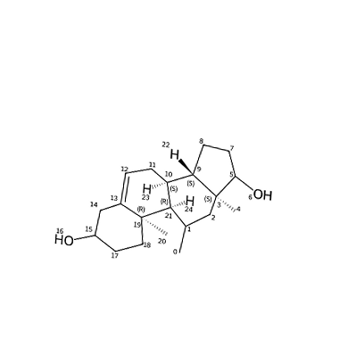 CC1C[C@]2(C)C(O)CC[C@H]2[C@@H]2CC=C3CC(O)CC[C@]3(C)[C@H]12